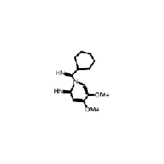 COc1cc(=N)n(C(=N)C2CCCCC2)cc1OC